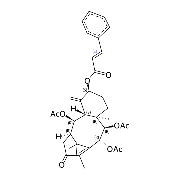 C=C1[C@@H](OC(=O)/C=C/c2ccccc2)CC[C@@]2(C)[C@@H](OC(C)=O)[C@H](OC(C)=O)C3=C(C)C(=O)C[C@@H]([C@@H](OC(C)=O)[C@H]12)C3(C)C